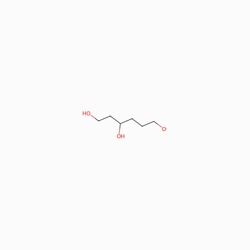 [O]CCCC(O)CCO